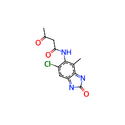 CC(=O)CC(=O)Nc1c(Cl)cc2c(c1C)=NC(=O)N=2